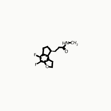 CNC(=O)CC[C@@H]1CCc2c(F)c(F)c3c(c21)CCO3